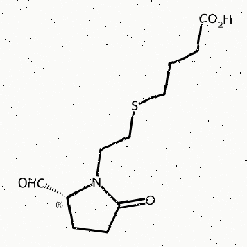 O=C[C@H]1CCC(=O)N1CCSCCCC(=O)O